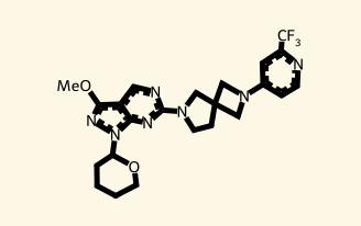 COc1nn(C2CCCCO2)c2nc(N3CCC4(CN(c5ccnc(C(F)(F)F)c5)C4)C3)ncc12